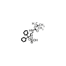 CC(C)(C)OC(=O)NCCCC(OP(=O)(O)O)(c1ccccc1)c1ccccc1